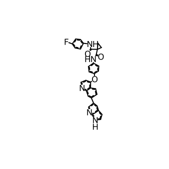 O=C(Nc1ccc(F)cc1)C1(C(=O)Nc2ccc(Oc3ccnc4cc(-c5cnc6[nH]ccc6c5)ccc34)cc2)CC1